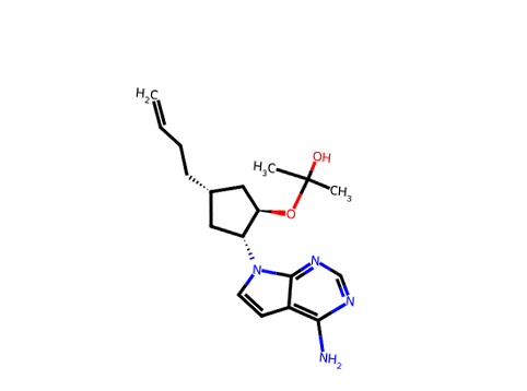 C=CCC[C@H]1C[C@@H](n2ccc3c(N)ncnc32)[C@H](OC(C)(C)O)C1